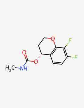 CNC(=O)O[C@@H]1CCOc2c1ccc(F)c2F